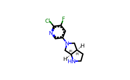 Fc1cc(N2C[C@H]3CCN[C@H]3C2)cnc1Cl